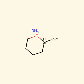 CCC[SiH]1CCCCO1.N